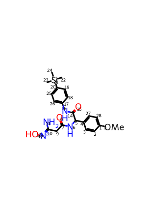 COc1ccc(C(NC(=O)C/C(N)=N/O)C(=O)Nc2ccc([Si](C)(C)C)cc2)cc1